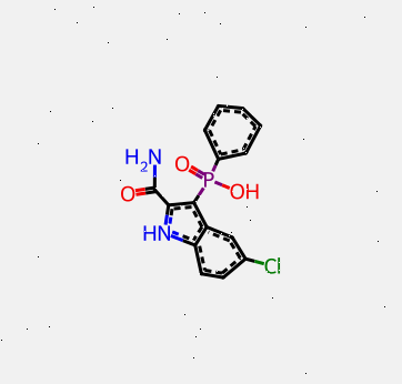 NC(=O)c1[nH]c2ccc(Cl)cc2c1P(=O)(O)c1ccccc1